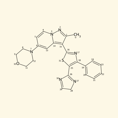 Cc1nn2ccc(N3CCOCC3)cc2c1-c1nc(-c2ccccc2)c(C2=NCC=N2)s1